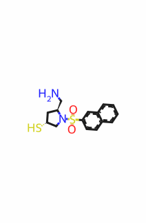 NC[C@@H]1C[C@@H](S)CN1S(=O)(=O)c1ccc2ccccc2c1